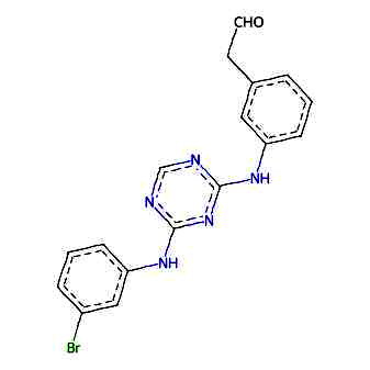 O=CCc1cccc(Nc2ncnc(Nc3cccc(Br)c3)n2)c1